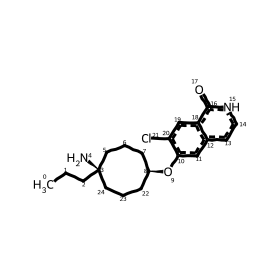 CCC[C@]1(N)CCC[C@@H](Oc2cc3cc[nH]c(=O)c3cc2Cl)CCC1